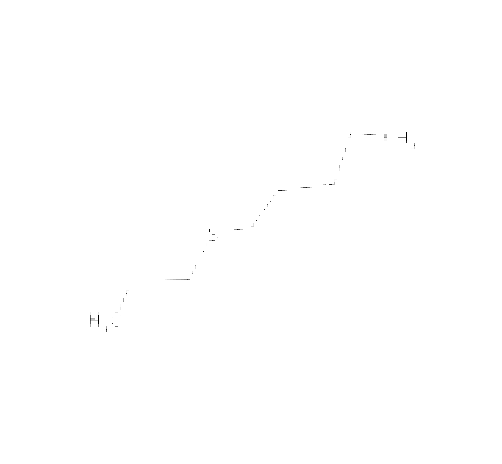 [CH2]CCSCCCCC